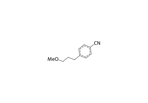 COCCCc1ccc(C#N)cc1